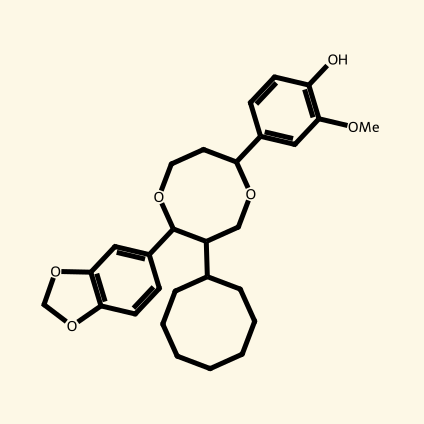 COc1cc(C2CCOC(c3ccc4c(c3)OCO4)C(C3CCCCCCC3)CO2)ccc1O